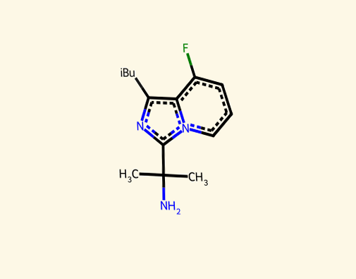 CCC(C)c1nc(C(C)(C)N)n2cccc(F)c12